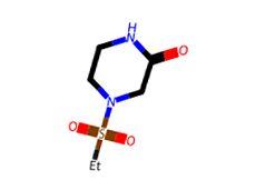 CCS(=O)(=O)N1CCNC(=O)C1